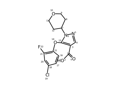 O=C(O)c1cnn(C2CCOCC2)c1Oc1ccc(Cl)cc1F